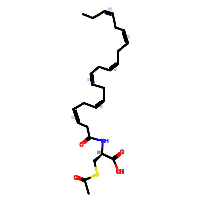 CC/C=C\C/C=C\C/C=C\C/C=C\C/C=C\C/C=C\CC(=O)N[C@H](CSC(C)=O)C(=O)O